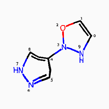 C1=CON(c2cn[nH]c2)N1